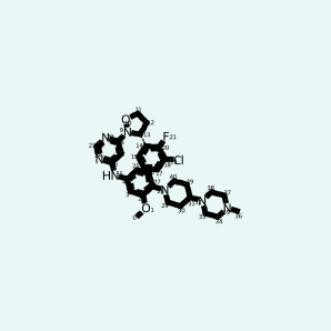 COc1cc(Nc2cc(N3OCC[C@@H]3c3cccc(Cl)c3F)ncn2)ccc1N1CCC(N2CCN(C)CC2)CC1